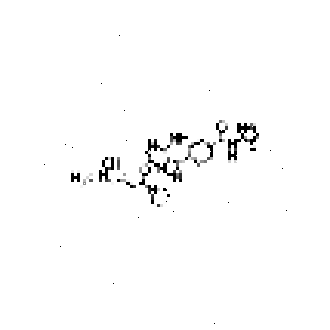 CN(C)CC=CC(=O)N1CCC[C@H]1c1nc(-c2ccc(C(=O)Nc3nccs3)cc2)c2c(N)nccn12